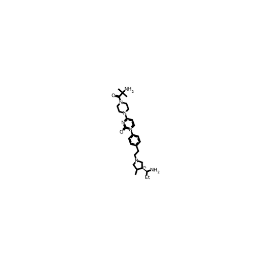 CCC(N)[C@@H]1CN(CCc2ccc(-n3ccc(N4CCN(C(=O)C(C)(C)N)CC4)nc3=O)cc2)CC1C